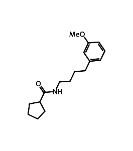 COc1cccc(CCCCNC(=O)C2CCCC2)c1